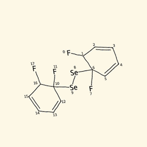 FC1C=CC=CC1(F)[Se][Se]C1(F)C=CC=CC1F